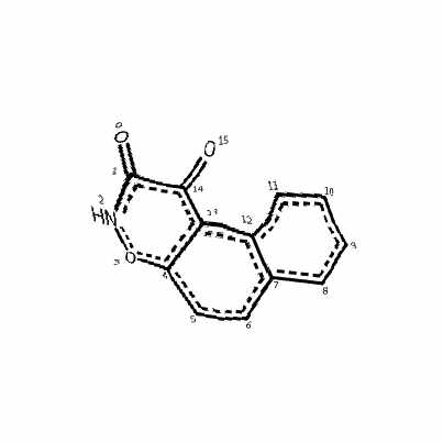 O=c1[nH]oc2ccc3ccccc3c2c1=O